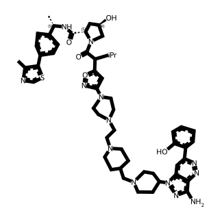 Cc1ncsc1-c1ccc([C@H](C)NC(=O)[C@@H]2C[C@@H](O)CN2C(=O)C(c2cc(N3CCN(CCN4CCC(CN5CCC(n6nc(N)c7nnc(-c8ccccc8O)cc76)CC5)CC4)CC3)no2)C(C)C)cc1